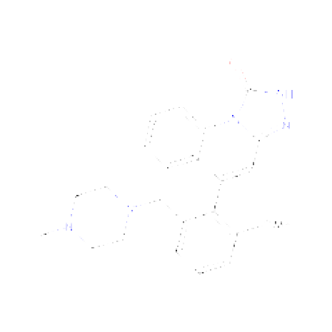 COc1cccc(CN2CCN(C)CC2)c1-c1cc2n[nH]c(=O)n2c2ccccc12